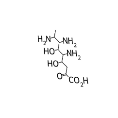 CC(N)C(N)C(O)C(N)C(O)CC(=O)C(=O)O